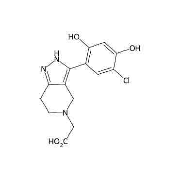 O=C(O)CN1CCc2n[nH]c(-c3cc(Cl)c(O)cc3O)c2C1